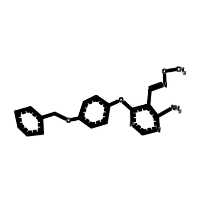 CON=Cc1c(N)ncnc1Oc1ccc(OCc2ccccc2)cc1